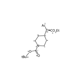 CCOC(=O)[C@H](C(C)=O)C1CCN(C(=O)OC(C)(C)C)CC1